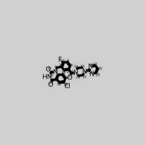 O=C(c1ccc(F)c(Cn2c(=O)[nH]c(=O)c3cc(Cl)ccc32)c1)N1CCN(c2ncccn2)CC1